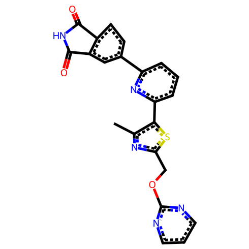 Cc1nc(COc2ncccn2)sc1-c1cccc(-c2ccc3c(c2)C(=O)NC3=O)n1